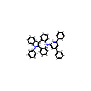 c1ccc(-c2cc(-c3ccccc3)nc(N3c4ccccc4-c4c(n(-c5ccccc5)c5ccccc45)-c4ccccc43)c2)cc1